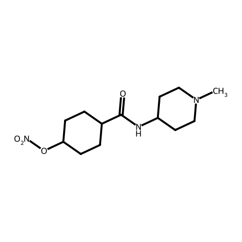 CN1CCC(NC(=O)C2CCC(O[N+](=O)[O-])CC2)CC1